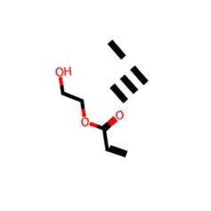 C=C.C=C.C=C.C=C.C=CC(=O)OCCO